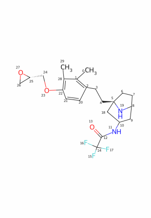 Cc1c(CC[C@]23CCC(CC(NC(=O)C(F)(F)F)C2)N3)ccc(OC[C@@H]2CO2)c1C